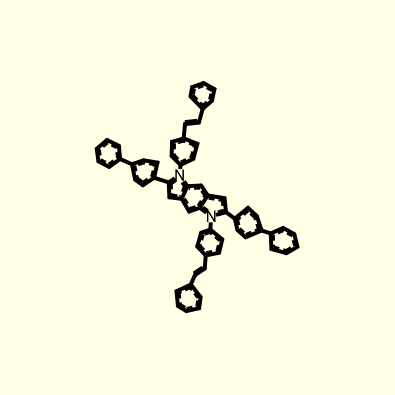 C(=C\c1ccc(-n2c(-c3ccc(-c4ccccc4)cc3)cc3cc4c(cc(-c5ccc(-c6ccccc6)cc5)n4-c4ccc(/C=C/c5ccccc5)cc4)cc32)cc1)/c1ccccc1